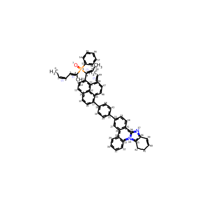 C/C=C\C=C(/C)P(=O)(/C(=C\C)c1ccc2ccc(-c3ccc(-c4ccc5c(c4)c4ccccc4n4c6c(nc54)C=CCC6)cc3)c3cc/c(=C/C)c1c23)c1ccccc1